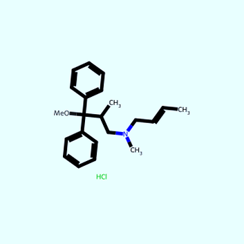 C/C=C/CN(C)CC(C)C(OC)(c1ccccc1)c1ccccc1.Cl